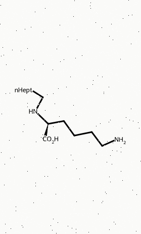 CCCCCCCCN[C@@H](CCCCN)C(=O)O